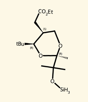 CCOC(=O)C[C@H]1CO[C@@](C)(C(C)(C)O[SiH3])O[C@H]1C(C)(C)C